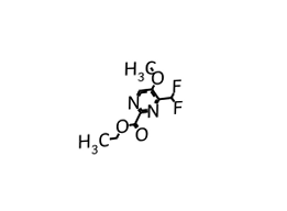 CCOC(=O)c1ncc(OC)c(C(F)F)n1